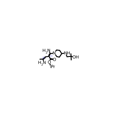 C/C(N)=C/C(C(=O)OC(C)C)=C(\N)N1CCC(NCC(C)(C)O)CC1